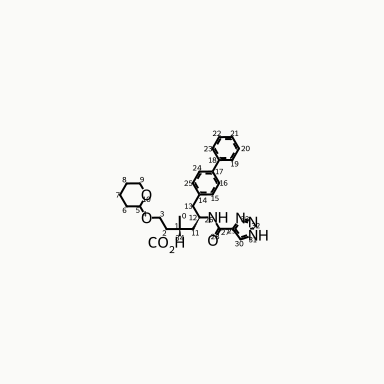 C[C@@](CCOC1CCCCO1)(C[C@@H](Cc1ccc(-c2ccccc2)cc1)NC(=O)c1c[nH]nn1)C(=O)O